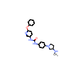 CNC1CCN(c2ccc(NC(=O)Nc3ccc(Oc4ccccc4)nc3)cc2)C1